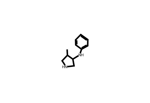 CC1CNCC1Nc1ccccc1